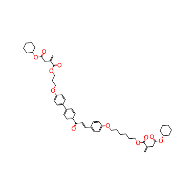 C=C(CC(=O)OC1CCCCC1)C(=O)OCCCCCCOc1ccc(/C=C/C(=O)c2ccc(-c3ccc(OCCCOC(=O)C(=C)CC(=O)OC4CCCCC4)cc3)cc2)cc1